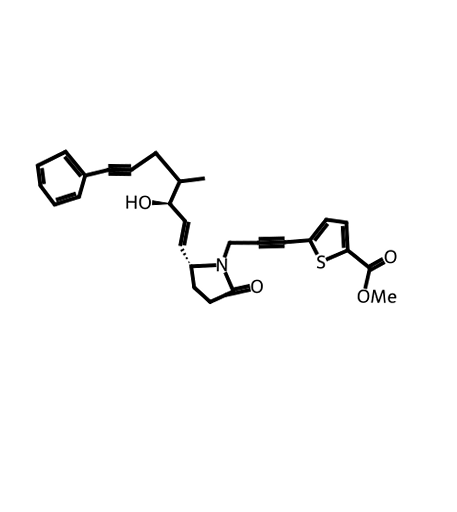 COC(=O)c1ccc(C#CCN2C(=O)CC[C@@H]2C=C[C@@H](O)C(C)CC#Cc2ccccc2)s1